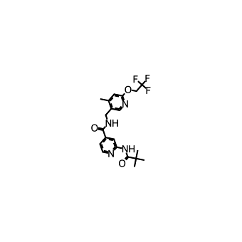 Cc1cc(OCC(F)(F)F)ncc1CNC(=O)c1ccnc(NC(=O)C(C)(C)C)c1